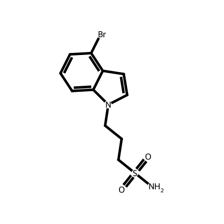 NS(=O)(=O)CCCn1ccc2c(Br)cccc21